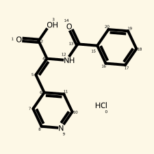 Cl.O=C(O)C(=Cc1ccncc1)NC(=O)c1ccccc1